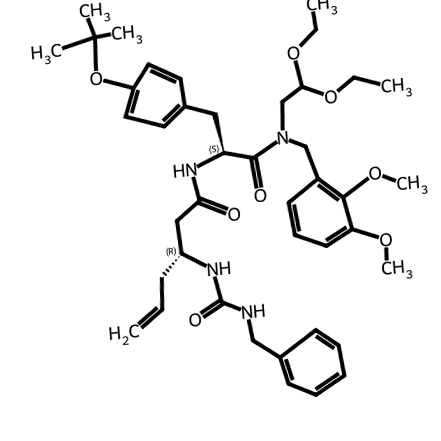 C=CC[C@H](CC(=O)N[C@@H](Cc1ccc(OC(C)(C)C)cc1)C(=O)N(Cc1cccc(OC)c1OC)CC(OCC)OCC)NC(=O)NCc1ccccc1